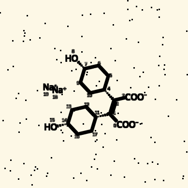 O=C([O-])/C(=C(\C(=O)[O-])[C@H]1CC[C@@H](O)CC1)[C@H]1CC[C@@H](O)CC1.[Na+].[Na+]